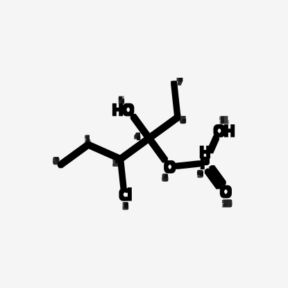 CCC(Cl)C(O)(CC)O[PH](=O)O